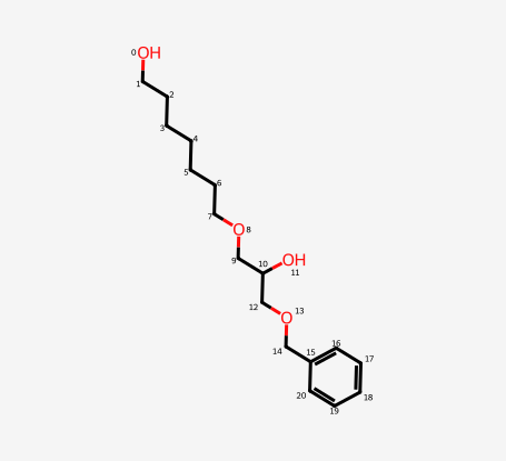 OCCCCCCCOCC(O)COCc1ccccc1